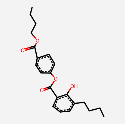 CCCCOC(=O)c1ccc(OC(=O)c2cccc(CCCC)c2O)cc1